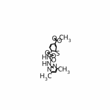 COC(=O)C1=CC(=S)C(S(=O)(=O)NC(=O)Nc2nc(C)cc(C)n2)C=C1